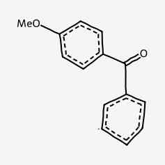 COc1ccc(C(=O)c2c[c]ccc2)cc1